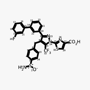 N[S+]([O-])c1ccc(Cc2c(-c3cccc(-c4cccc(F)c4)c3)nn(-c3nc(C(=O)O)cs3)c2C(F)(F)F)cc1